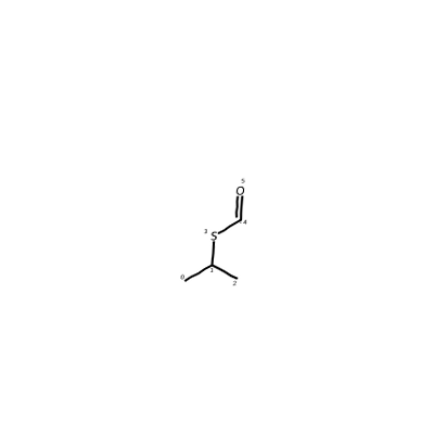 CC(C)S[C]=O